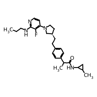 CCCNc1nccc(N2CC[C@@H](CCc3ccc(C(C)C(=O)NC4CC4C)cc3)C2)c1F